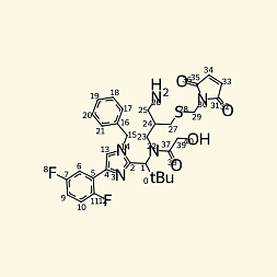 CC(C)(C)C(c1nc(-c2cc(F)ccc2F)cn1Cc1ccccc1)N(CC(CN)CSCN1C(=O)C=CC1=O)C(=O)CO